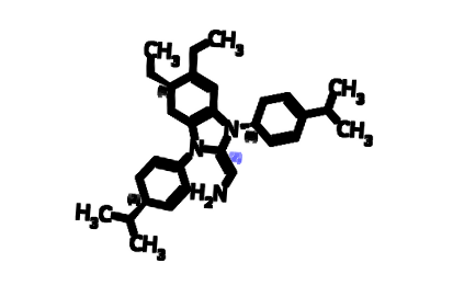 CCC1=CC2=C(C[C@H]1CC)N(C1=CC[C@H](C(C)C)C=C1)/C(=C\N)N2[C@H]1C=CC(C(C)C)=CC1